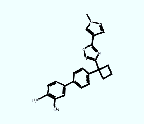 Cn1cc(-c2nc(C3(c4ccc(-c5ccc(N)c(C#N)c5)cc4)CCC3)no2)cn1